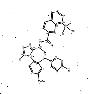 COc1ccc2c(c1)C(c1ccc(Cl)cc1)=N[C@@H](NC(=O)c1ccc3cccc([Si](C)(C)O)c3c1)c1nnc(C)n1-2